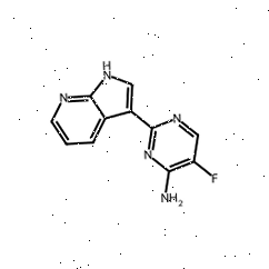 Nc1nc(-c2c[nH]c3ncccc23)ncc1F